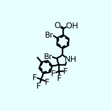 Cc1cc(C(F)(F)F)cc(C2(C(F)(F)F)CNC(c3ccc(C(=O)O)c(Br)c3)C2Br)c1